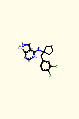 Clc1ccc(CC2(Nc3ncnc4[nH]ncc34)CCCC2)cc1Cl